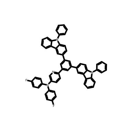 Fc1ccc(N(c2ccc(F)cc2)c2ccc(-c3cc(-c4ccc5c(c4)c4ccccc4n5-c4ccccc4)cc(-c4ccc5c(c4)c4ccccc4n5-c4ccccc4)c3)nc2)cc1